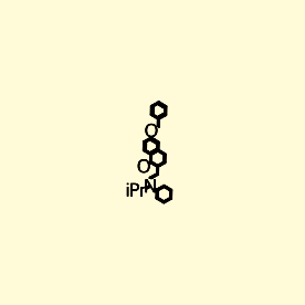 CC(C)N(CCC1CCc2cc(OCc3ccccc3)ccc2C1=O)C1CCCCC1